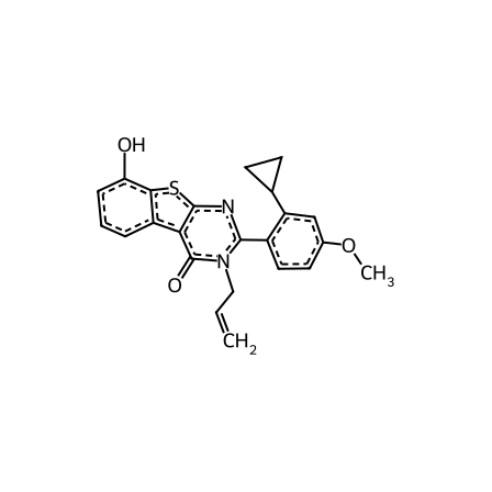 C=CCn1c(-c2ccc(OC)cc2C2CC2)nc2sc3c(O)cccc3c2c1=O